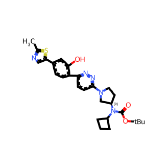 Cc1ncc(-c2ccc(-c3ccc(N4CC[C@@H](N(C(=O)OC(C)(C)C)C5CCC5)C4)nn3)c(O)c2)s1